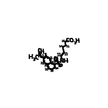 CN(C)c1ccc2c(S(=O)(=O)NCCCCCC(=O)O)cccc2c1